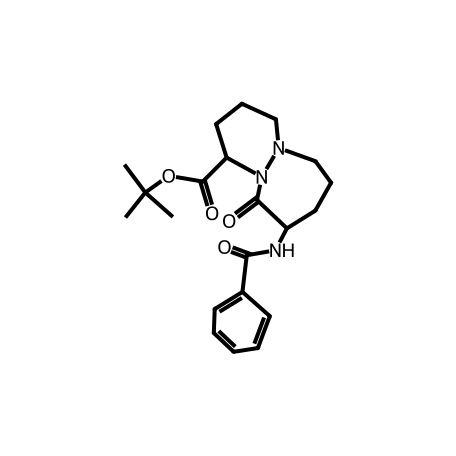 CC(C)(C)OC(=O)C1CCCN2CCCC(NC(=O)c3ccccc3)C(=O)N12